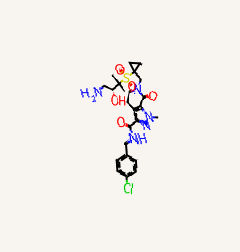 Cn1nc(C(=O)NCc2ccc(Cl)cc2)c2c1C(=O)N(CC1(S(=O)(=O)C(C)(C)[C@H](O)CN)CC1)CC2